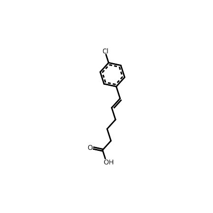 O=C(O)CCCC=Cc1ccc(Cl)cc1